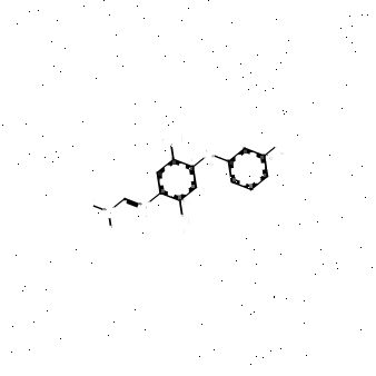 CCN(C)C=Nc1cc(C)c(Nc2cccc(C(F)(F)F)c2)cc1C